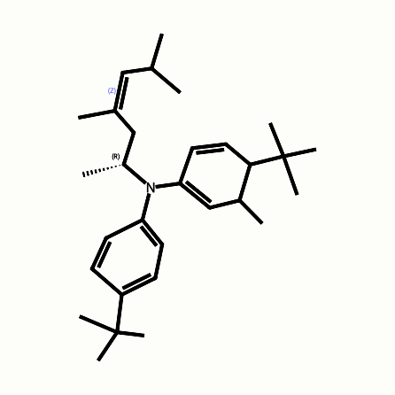 C/C(=C/C(C)C)C[C@@H](C)N(C1=CC(C)C(C(C)(C)C)C=C1)c1ccc(C(C)(C)C)cc1